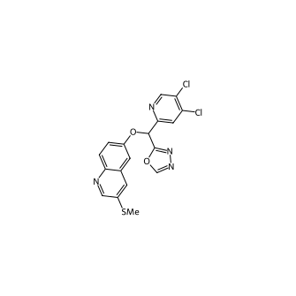 CSc1cnc2ccc(OC(c3cc(Cl)c(Cl)cn3)c3nnco3)cc2c1